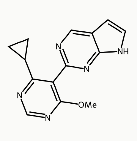 COc1ncnc(C2CC2)c1-c1ncc2cc[nH]c2n1